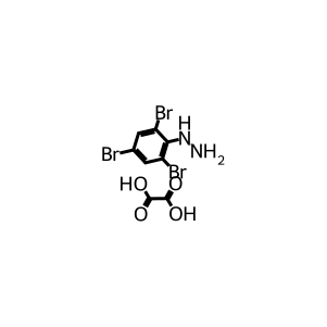 NNc1c(Br)cc(Br)cc1Br.O=C(O)C(=O)O